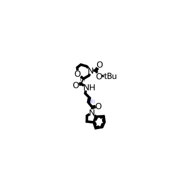 CC(C)(C)OC(=O)N1CCCO[C@H](C(=O)NC/C=C/C(=O)N2CCc3ccccc32)C1